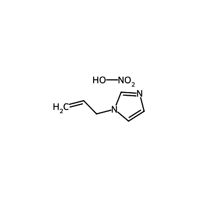 C=CCn1ccnc1.O=[N+]([O-])O